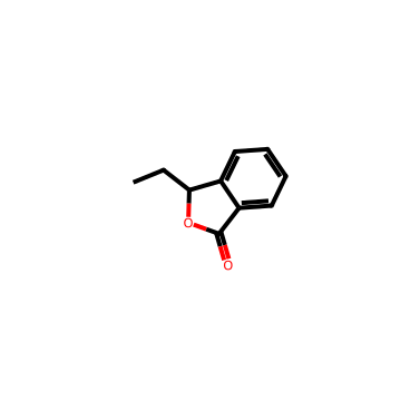 CCC1OC(=O)c2ccccc21